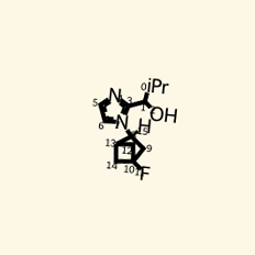 CC(C)C(O)c1nccn1[C@@H]1CC2(F)CC1C2